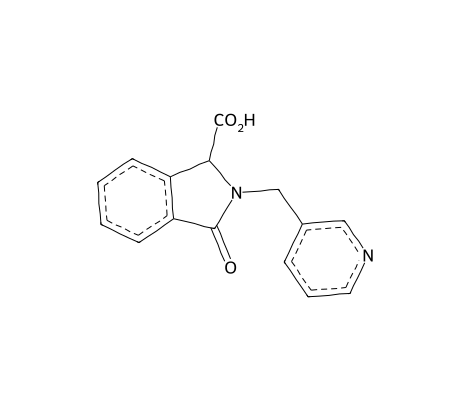 O=C(O)C1c2ccccc2C(=O)N1Cc1cccnc1